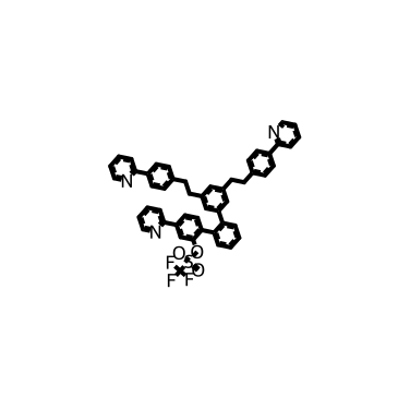 O=S(=O)(Oc1cc(-c2ccccn2)ccc1-c1ccccc1-c1cc(CCc2ccc(-c3ccccn3)cc2)cc(CCc2ccc(-c3ccccn3)cc2)c1)C(F)(F)F